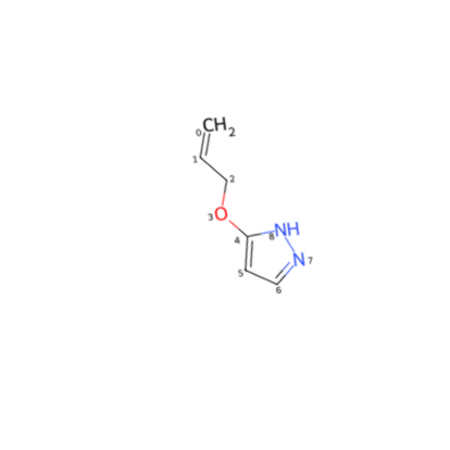 C=CCOc1ccn[nH]1